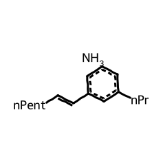 CCCCCC=Cc1cccc(CCC)c1.N